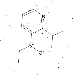 CC[S+]([O-])c1cccnc1C(C)C